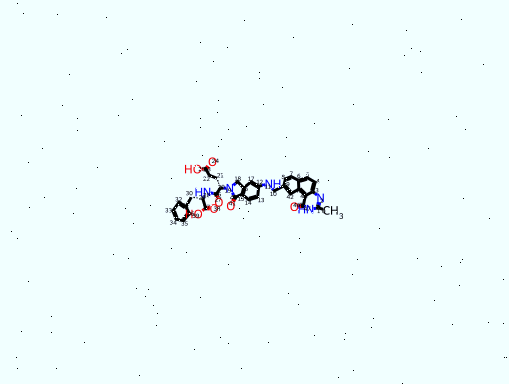 Cc1nc2ccc3ccc(CNc4ccc5c(c4)CN([C@@H](CCC(=O)O)C(=O)N[C@@H](Cc4ccccc4)C(=O)O)C5=O)cc3c2c(=O)[nH]1